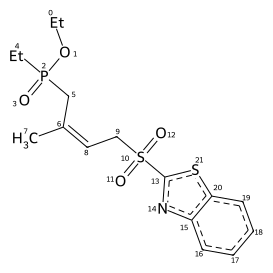 CCOP(=O)(CC)CC(C)=CCS(=O)(=O)c1nc2ccccc2s1